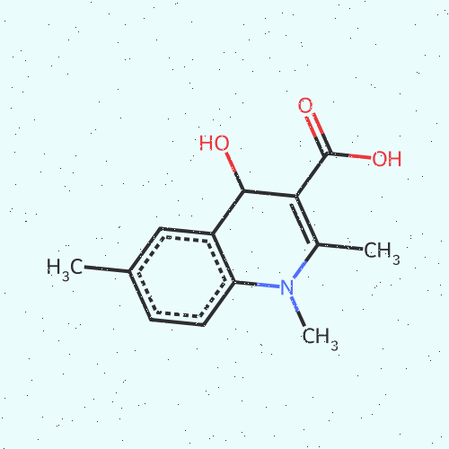 CC1=C(C(=O)O)C(O)c2cc(C)ccc2N1C